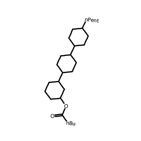 CCCCCC1CCC(C2CCC(C3CCCC(OC(=O)CCCC)C3)CC2)CC1